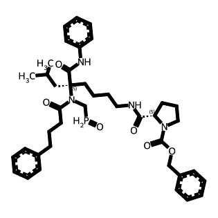 CC(C)C[C@@](CCCCNC(=O)[C@@H]1CCCN1C(=O)OCc1ccccc1)(C(=O)Nc1ccccc1)N(C[PH2]=O)C(=O)CCCc1ccccc1